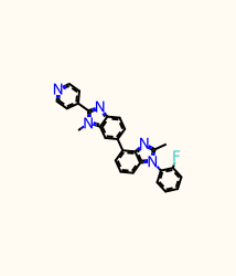 Cc1nc2c(-c3ccc4nc(-c5ccncc5)n(C)c4c3)cccc2n1-c1ccccc1F